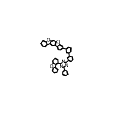 c1ccc(-c2nc(-c3cccc(-c4cccc(-c5ccc6c(c5)oc5cc7oc8ccccc8c7cc56)c4)c3)nc(-c3cccc4oc5ccccc5c34)n2)cc1